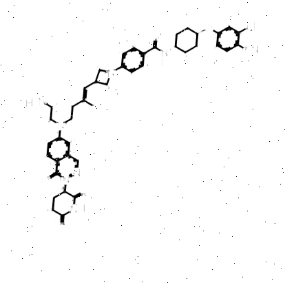 C/C(=C\C1CN(c2ccc(C(=O)N[C@H]3CC[C@H](Oc4ccc(C#N)c(Cl)c4)CC3)cc2)C1)CCN(CCN)c1ccc2c(=O)n(C3CCC(=O)NC3=O)ncc2c1